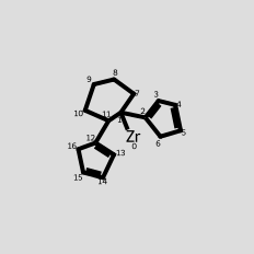 [Zr][C]1(C2=CC=CC2)CCCCC1C1=CC=CC1